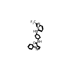 O=C(NC1CCC(Nc2cccc3nc(C(F)(F)F)cn23)CC1)c1ccnn1-c1ccccc1